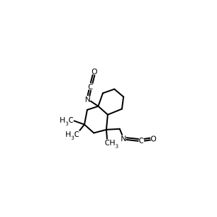 CC1(C)CC(C)(CN=C=O)C2CCCCC2(N=C=O)C1